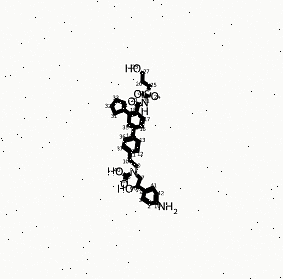 Nc1ccc([C@@H](O)CN(CCc2ccc(-c3ccc(C(=O)NS(=O)(=O)CCCO)c(C4CCCC4)c3)cc2)C(=O)O)cc1